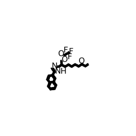 CCC(=O)CCCCCC(COC(=O)C(F)(F)F)c1ncc(-c2ccc3ccccc3c2)[nH]1